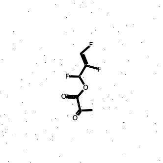 CC(=O)C(=O)OC(F)C(F)=CF